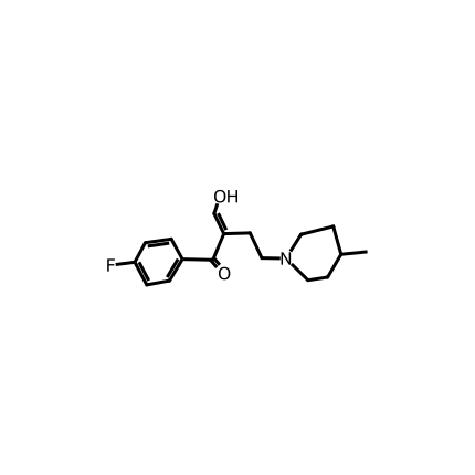 CC1CCN(CC/C(=C\O)C(=O)c2ccc(F)cc2)CC1